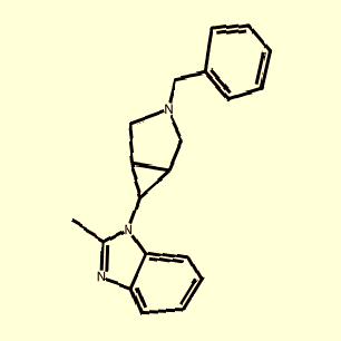 Cc1nc2ccccc2n1C1C2CN(Cc3ccccc3)CC21